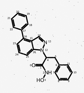 O=C(NO)C(Cc1ccccc1)n1ncc2c(-c3ccccc3)cccc21